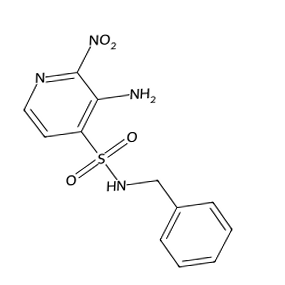 Nc1c(S(=O)(=O)NCc2ccccc2)ccnc1[N+](=O)[O-]